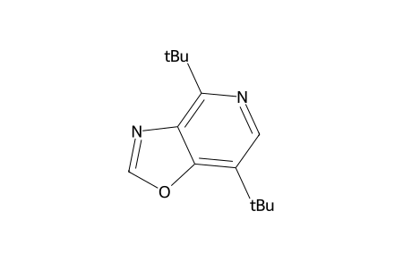 CC(C)(C)c1ncc(C(C)(C)C)c2ocnc12